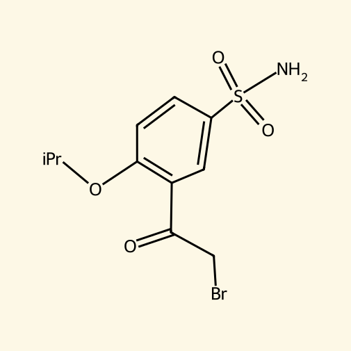 CC(C)Oc1ccc(S(N)(=O)=O)cc1C(=O)CBr